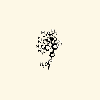 Cc1ncc(-c2ccc(OCC(C)CF)cn2)c(N2CCC(C)(C)CC2)c1[C@H](OC(C)(C)C)C(=O)OC(C)C